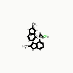 CC1=Cc2c(ccc[c]2[Zr+2]2([c]3cccc4c3C=C(C)C4)[CH2][CH2]2)C1.[Cl-].[Cl-]